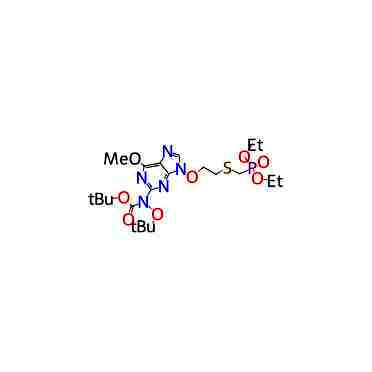 CCOP(=O)(CSCCOn1cnc2c(OC)nc(N(OC(C)(C)C)C(=O)OC(C)(C)C)nc21)OCC